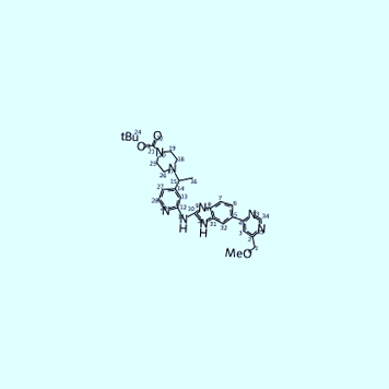 COCc1cc(-c2ccc3nc(Nc4cc(C(C)N5CCN(C(=O)OC(C)(C)C)CC5)ccn4)[nH]c3c2)ncn1